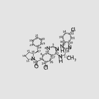 C[C@H](Nc1ncnc2cc(C(=O)N3CCC[C@H]3Cc3ccccc3)c(Cl)cc12)c1nc2cc(Cl)ccc2[nH]1